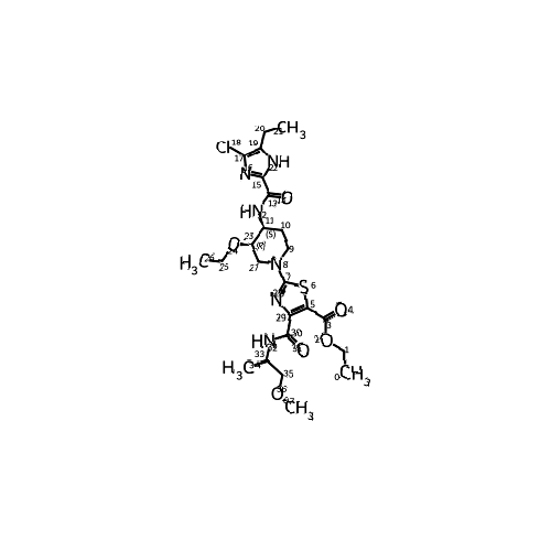 CCOC(=O)c1sc(N2CC[C@H](NC(=O)c3nc(Cl)c(CC)[nH]3)[C@H](OCC)C2)nc1C(=O)NC(C)COC